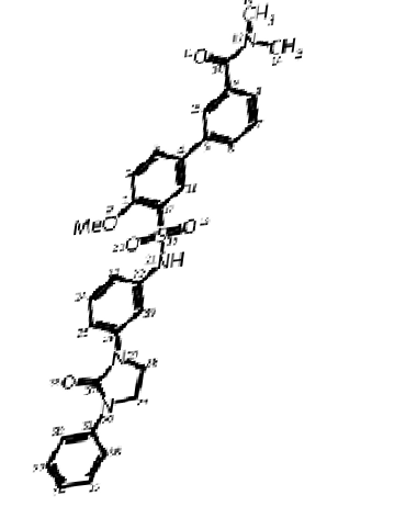 COc1ccc(-c2cccc(C(=O)N(C)C)c2)cc1S(=O)(=O)Nc1cccc(N2CCN(c3ccccc3)C2=O)c1